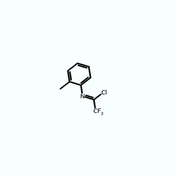 Cc1ccccc1N=C(Cl)C(F)(F)F